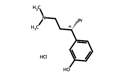 CC(C)[C@@H](CCN(C)C)c1cccc(O)c1.Cl